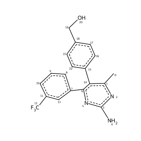 Cc1nc(N)nc(-c2cccc(C(F)(F)F)c2)c1-c1ccc(CO)cc1